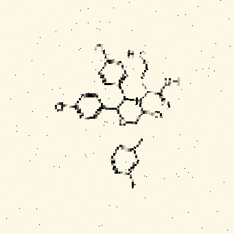 CCC[C@H](C(=O)O)N1C(=O)[C@H](Cc2cccc(F)c2)O[C@@H](c2ccc(Cl)cc2)[C@H]1c1ccc(Cl)cc1